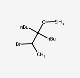 CCCCC(CCCC)(O[SiH3])C(C)Br